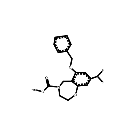 CC(C)(C)OC(=O)N1CCOc2cc(C(F)F)cc(OCc3ccccc3)c2C1